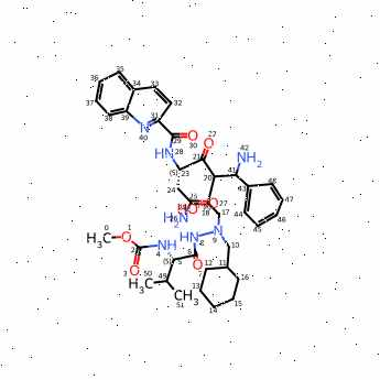 COC(=O)N[C@H](C(=O)NN(CC1CCCCC1)C[C@H](O)C(C(=O)[C@H](CC(N)=O)NC(=O)c1ccc2ccccc2n1)C(N)c1ccccc1)C(C)C